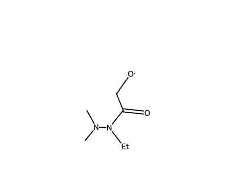 CCN(C(=O)C[O])N(C)C